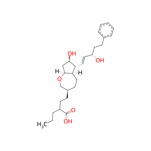 CCCC(CC[C@@H]1CC[C@@H]2[C@@H](/C=C/[C@@H](O)CCc3ccccc3)[C@H](O)C[C@@H]2OC1)C(=O)O